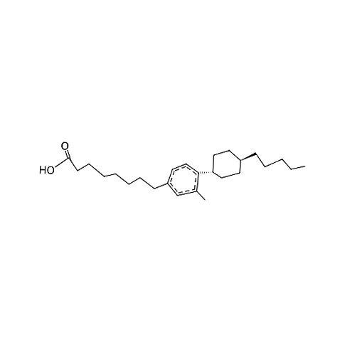 CCCCC[C@H]1CC[C@H](c2ccc(CCCCCCCC(=O)O)cc2C)CC1